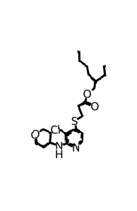 CCCCC(CC)COC(=O)CCSc1ccnc(NC2CCOCC2)c1Cl